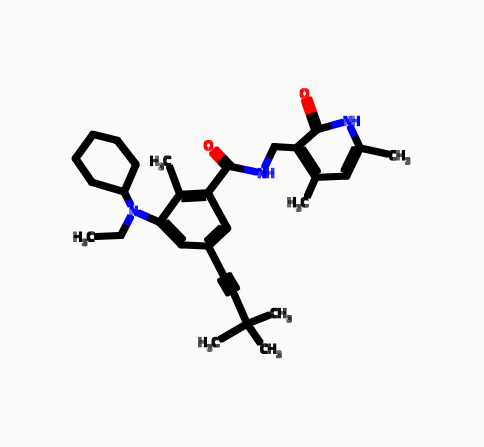 CCN(c1cc(C#CC(C)(C)C)cc(C(=O)NCc2c(C)cc(C)[nH]c2=O)c1C)C1CCCCC1